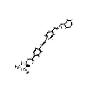 NC[C@H](NC(=O)c1ccc(C#Cc2ccc(CNCC3CCCCC3)cc2)cc1)C(=O)NO